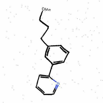 COCCCc1cccc(-c2ccccn2)c1